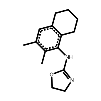 Cc1cc2c(c(NC3=NCCO3)c1C)CCCC2